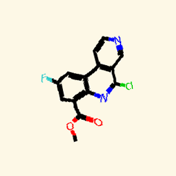 COC(=O)c1cc(F)cc2c1nc(Cl)c1cnccc12